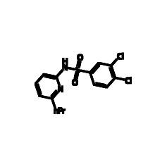 CCCc1cccc(NS(=O)(=O)c2ccc(Cl)c(Cl)c2)n1